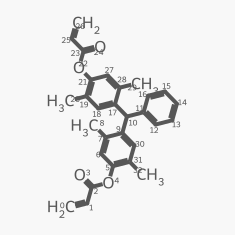 C=CC(=O)Oc1cc(C)c(C(c2ccccc2)c2cc(C)c(OC(=O)C=C)cc2C)cc1C